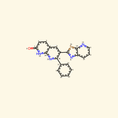 O=c1ccc2cc(-c3nc4cccnc4s3)c(-c3ccccc3)nc2[nH]1